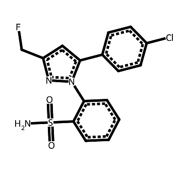 NS(=O)(=O)c1ccccc1-n1nc(CF)cc1-c1ccc(Cl)cc1